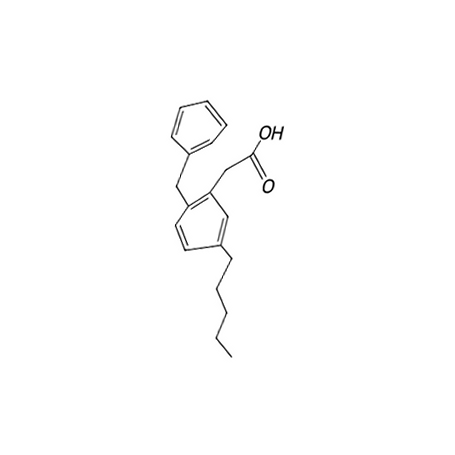 CCCCCc1ccc(Cc2ccccc2)c(CC(=O)O)c1